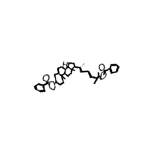 C[C@H](CCCC(C)(C)OC(=O)c1ccccc1)C1CC[C@H]2C3CC=C4CC(OC(=O)c5ccccc5)CCC4(C)C3CCC12C